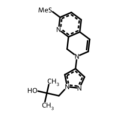 CSc1ccc2c(n1)CN(c1cnn(CC(C)(C)O)c1)C=C2